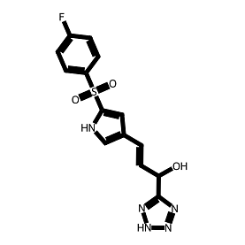 O=S(=O)(c1ccc(F)cc1)c1cc(C=CC(O)c2nn[nH]n2)c[nH]1